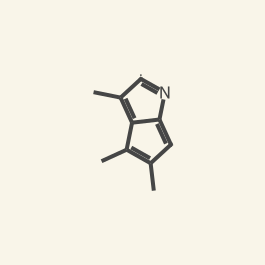 CC1=C2C(=CC(C)=C2C)N=[C]1